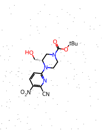 CC(C)(C)OC(=O)N1CCN(c2ccc([N+](=O)[O-])c(C#N)n2)[C@H](CO)C1